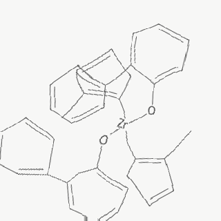 CC1=[C]([Zr]([O]c2ccccc2-c2ccccc2)([O]c2ccccc2-c2ccccc2)[C]2=C(C)C=CC2)CC=C1